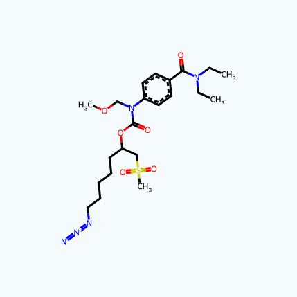 CCN(CC)C(=O)c1ccc(N(COC)C(=O)OC(CCCCCN=[N+]=[N-])CS(C)(=O)=O)cc1